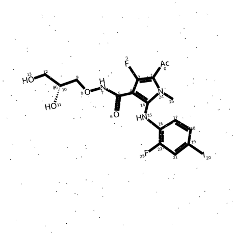 CC(=O)c1c(F)c(C(=O)NOC[C@H](O)CO)c(Nc2ccc(I)cc2F)n1C